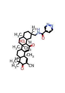 CC1(C)C(=O)C(C#N)=C[C@]2(C)C3=CC(=O)[C@]4(O)[C@@H]5C[C@@](C)(CNC(=O)c6ccnnc6)CC[C@]5(C)CC[C@@]4(C)[C@]3(C)CC[C@@H]12